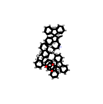 C=C(/C=C\C1=C(C)C2(c3ccccc31)c1ccccc1-c1ccccc12)N(c1ccc2c(c1)C1(c3ccccc3-c3ccccc31)c1ccccc1-2)c1cc2c(oc3cccc(-c4ccccc4)c32)c2ccccc12